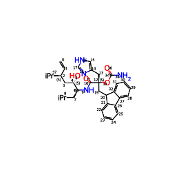 C=C[C@@H](C[C@H](O)[C@H](CC(C)C)NC(=O)[C@@](Cc1c[nH]cn1)(CC1c2ccccc2-c2ccccc21)OC(N)=O)C(C)C